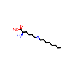 CCCCCCCC=NCCCCC(N)C(=O)O